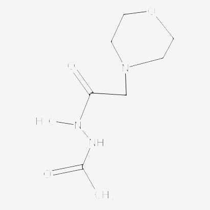 CC(=O)NN(C)C(=O)CN1CCOCC1